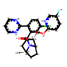 O=C(c1cc(Cl)ccc1-c1ncccn1)N1C2CC[C@H]1CC[C@@H]2COc1ccc(F)cn1